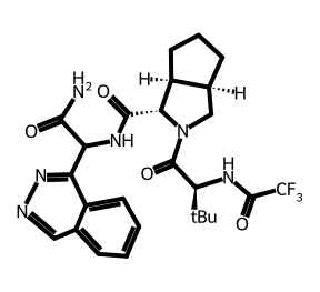 CC(C)(C)[C@H](NC(=O)C(F)(F)F)C(=O)N1C[C@@H]2CCC[C@@H]2[C@H]1C(=O)NC(C(N)=O)c1nncc2ccccc12